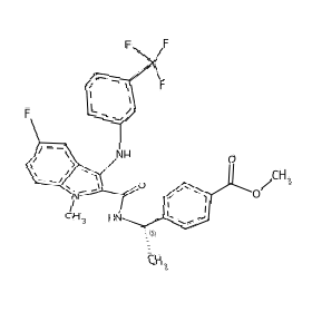 COC(=O)c1ccc([C@H](C)NC(=O)c2c(Nc3cccc(C(F)(F)F)c3)c3cc(F)ccc3n2C)cc1